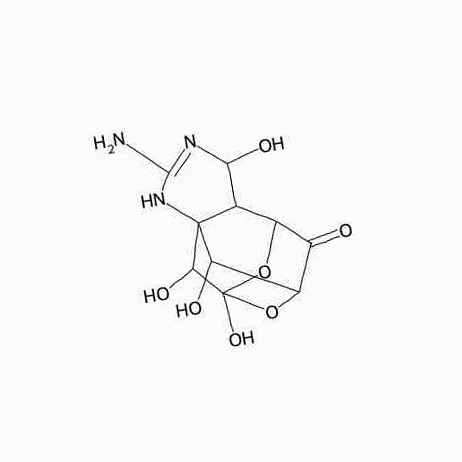 NC1=NC(O)C2C3OC4(O)OC(C3=O)C(O)C2(N1)C4O